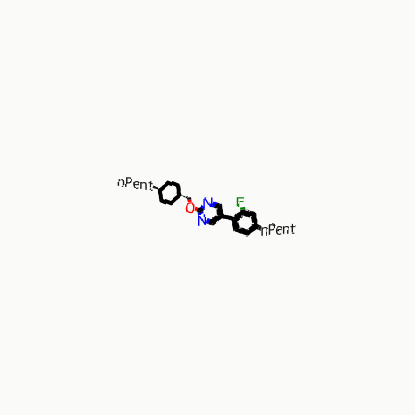 CCCCCc1ccc(-c2cnc(OC[C@H]3CC[C@H](CCCCC)CC3)nc2)c(F)c1